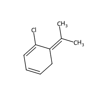 CC(C)=C1CC=CC=C1Cl